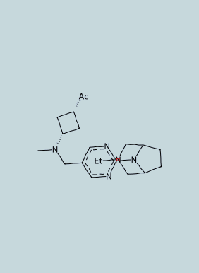 CCN1CC2CCC(C1)N2c1ncc(CN(C)[C@H]2C[C@@H](C(C)=O)C2)cn1